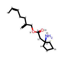 C=C(CC/C=C\C)COC(=O)CC1(N)CCCC1